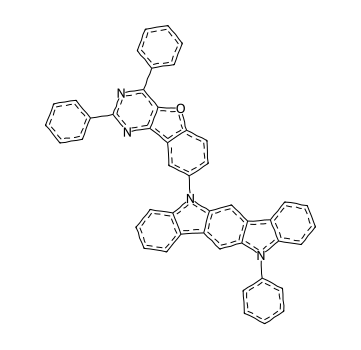 c1ccc(-c2nc(-c3ccccc3)c3oc4ccc(-n5c6ccccc6c6cc7c(cc65)c5ccccc5n7-c5ccccc5)cc4c3n2)cc1